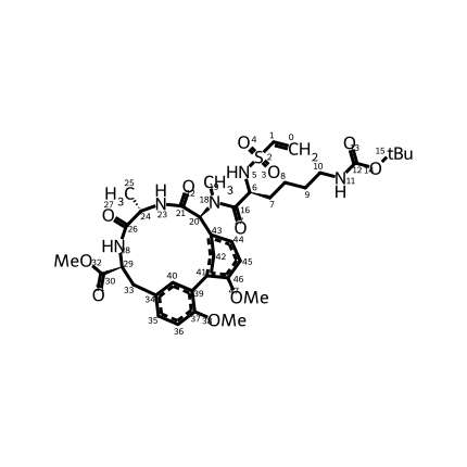 C=CS(=O)(=O)N[C@@H](CCCCNC(=O)OC(C)(C)C)C(=O)N(C)[C@@H]1C(=O)N[C@@H](C)C(=O)N[C@H](C(=O)OC)Cc2ccc(OC)c(c2)-c2cc1ccc2OC